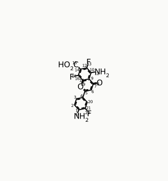 Nc1ccc(-c2cc(=O)c3c(N)c(F)c(C(=O)O)c(F)c3o2)cc1F